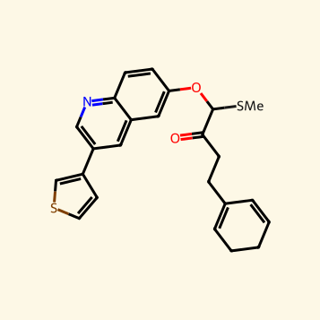 CSC(Oc1ccc2ncc(-c3ccsc3)cc2c1)C(=O)CCC1=CCCC=C1